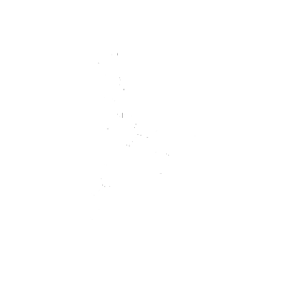 CN(C)CC(=O)Nc1cccc2c1CCN(C(=O)/C=C/c1c(-n3cnnn3)ccc(Cl)c1F)[C@H]2C(=O)Nc1ccc(C(=O)O)cc1